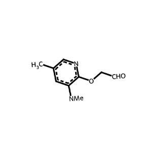 CNc1cc(C)cnc1OCC=O